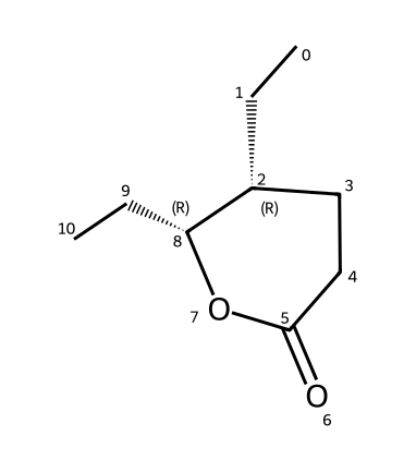 CC[C@@H]1CCC(=O)O[C@@H]1CC